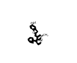 Cn1cc(C=C2Cc3cc(O)ccc3O2)c2c(-c3ccccc3)ccnc21